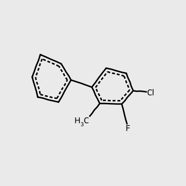 Cc1c(-c2ccccc2)ccc(Cl)c1F